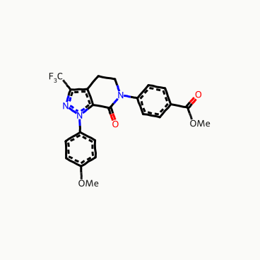 COC(=O)c1ccc(N2CCc3c(C(F)(F)F)nn(-c4ccc(OC)cc4)c3C2=O)cc1